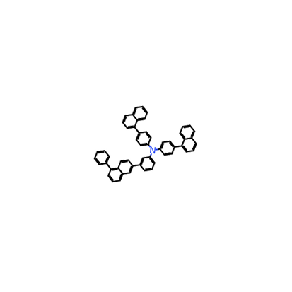 c1ccc(-c2cccc3cc(-c4cccc(N(c5ccc(-c6cccc7ccccc67)cc5)c5ccc(-c6cccc7ccccc67)cc5)c4)ccc23)cc1